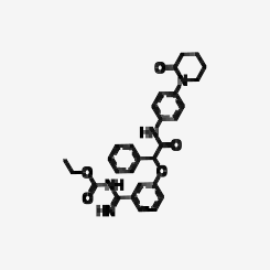 CCOC(=O)NC(=N)c1cccc(OC(C(=O)Nc2ccc(N3CCCCC3=O)cc2)c2ccccc2)c1